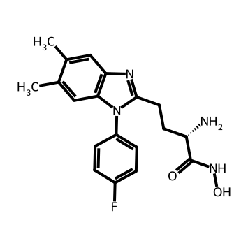 Cc1cc2nc(CC[C@H](N)C(=O)NO)n(-c3ccc(F)cc3)c2cc1C